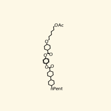 CCCCCC1CCC(C2CCC(C(=O)Oc3ccc(OC(=O)C4CCC(OCCCCCCOC(C)=O)CC4)cc3)CC2)CC1